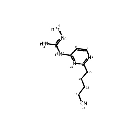 CCCN=C(N)Nc1ccnc(CCCCC#N)n1